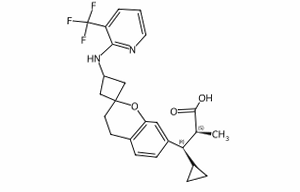 C[C@H](C(=O)O)[C@H](c1ccc2c(c1)OC1(CC2)CC(Nc2ncccc2C(F)(F)F)C1)C1CC1